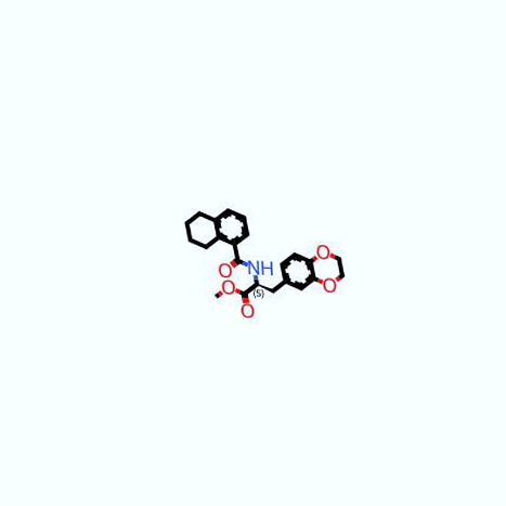 COC(=O)[C@H](Cc1ccc2c(c1)OCCO2)NC(=O)c1cccc2c1CCCC2